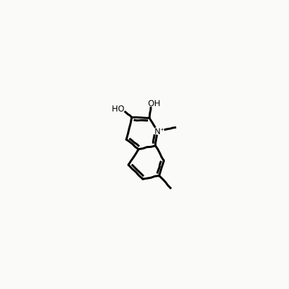 Cc1ccc2cc(O)c(O)[n+](C)c2c1